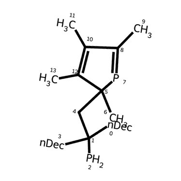 CCCCCCCCCCC(P)(CCCCCCCCCC)CC1(C)P=C(C)C(C)=C1C